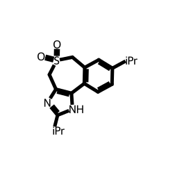 CC(C)c1ccc2c(c1)CS(=O)(=O)Cc1nc(C(C)C)[nH]c1-2